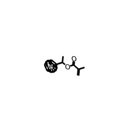 C=C(C)C(=O)OC(C)[C]12[CH]3[CH]4[CH]5[CH]1[Fe]45321678[CH]2[CH]1[CH]6[CH]7[CH]28